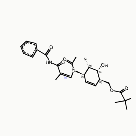 CC(=O)N(/C=C(/C)C(=O)NC(=O)c1ccccc1)[C@@H]1C=C[C@H](COC(=O)C(C)(C)C)[C@@H](O)[C@H]1F